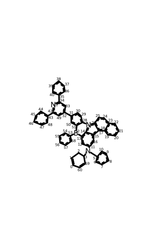 C1=CCC(N(c2ccccc2)c2cc3c4c(c2)c2c5ccccc5ccc2n4-c2ccc(-c4cc(-c5ccccc5)nc(-c5ccccc5)c4)cc2B3c2ccccc2)C=C1